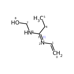 C=C/N=C(\CC)NCO